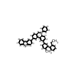 CCc1ccccc1-c1cc(-c2ccc3c(c2)-c2cc(-c4ccc5sc6ccccc6c5c4)ccc2CN3c2ccccc2)ccc1C